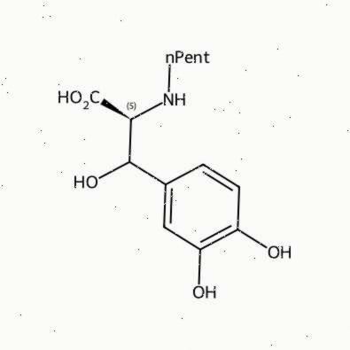 CCCCCN[C@H](C(=O)O)C(O)c1ccc(O)c(O)c1